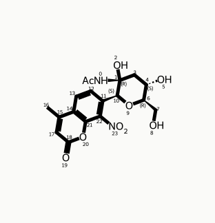 CC(=O)N[C@@]1(O)C[C@H](O)[C@@H](CO)O[C@H]1c1ccc2c(C)cc(=O)oc2c1[N+](=O)[O-]